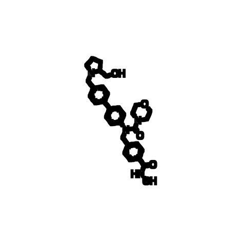 O=C(NO)c1ccc(CN(C(=O)N2CCOCC2)c2ccc(-c3ccc(CN4CCCC4CO)cc3)cc2)cc1